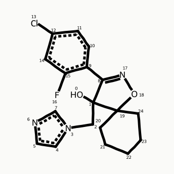 OC1(Cn2ccnc2)C(c2ccc(Cl)cc2F)=NOC12CCCCC2